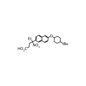 CCC(CCC(=O)O)(c1ccc2cc(OC3CCC(C(C)(C)C)CC3)ccc2c1)[N+](=O)[O-]